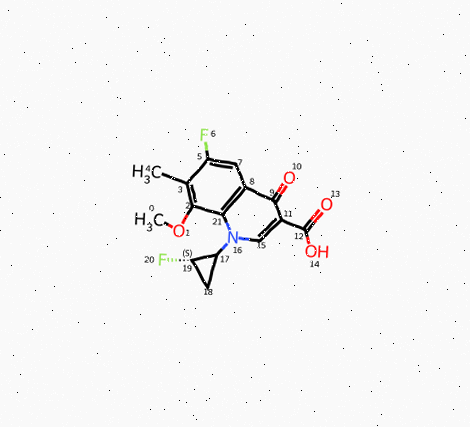 COc1c(C)c(F)cc2c(=O)c(C(=O)O)cn(C3C[C@@H]3F)c12